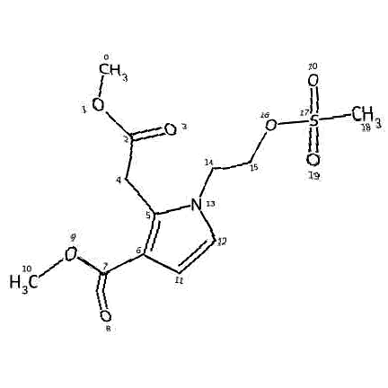 COC(=O)Cc1c(C(=O)OC)ccn1CCOS(C)(=O)=O